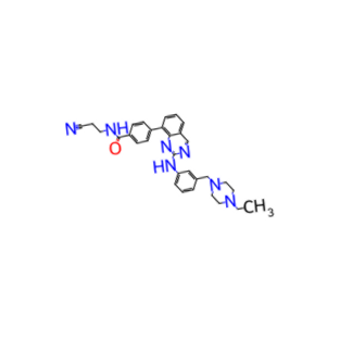 CCN1CCN(Cc2cccc(Nc3ncc4cccc(-c5ccc(C(=O)NCCC#N)cc5)c4n3)c2)CC1